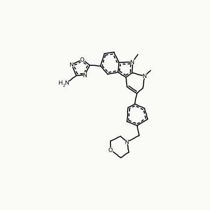 CN1CC(c2ccc(CN3CCOCC3)cc2)=Cc2c1n(C)c1ccc(-c3nc(N)no3)cc21